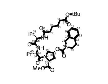 COC(=O)[C@@H]1C[C@@H](OC(=O)N2CCc3ccccc3C2)CN1C(=O)[C@@H](NC(=O)[C@@H](NC(=O)CCCCC(=O)OC(C)(C)C)C(C)C)C(C)C